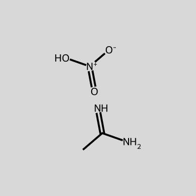 CC(=N)N.O=[N+]([O-])O